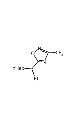 CCCCCCC(CC)c1nc(C(F)(F)F)no1